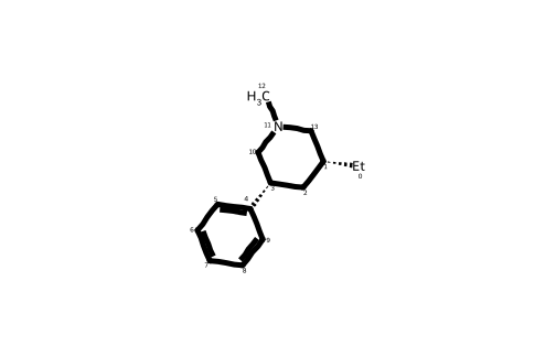 CC[C@@H]1C[C@H](c2ccccc2)CN(C)C1